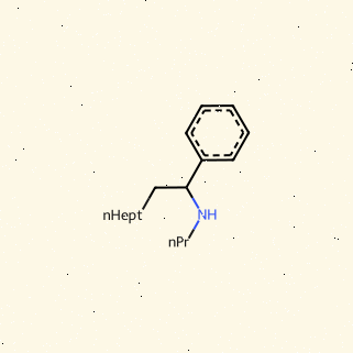 CCCCCCCCC(NCCC)c1ccccc1